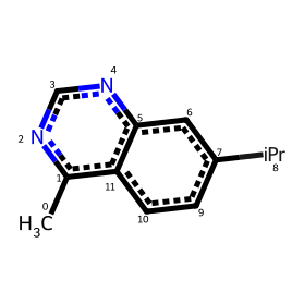 Cc1ncnc2cc(C(C)C)ccc12